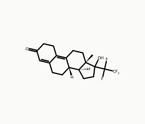 C[C@]12CCC3=C4CCC(=O)C=C4CC[C@H]3[C@@H]1CCC2(O)C(F)(F)C(F)(F)F